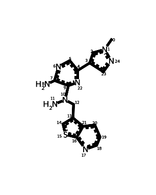 Cn1cc(-c2cnc(N)c(N(N)Cc3csc4ncccc34)n2)cn1